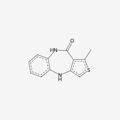 Cc1scc2c1C(=O)Nc1ccccc1N2